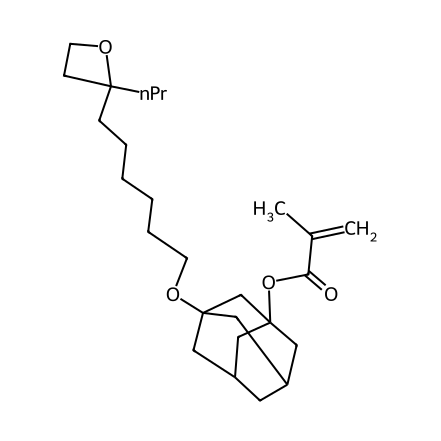 C=C(C)C(=O)OC12CC3CC(CC(OCCCCCCC4(CCC)CCO4)(C3)C1)C2